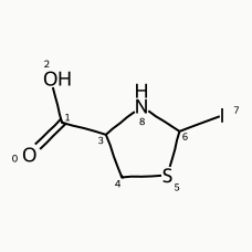 O=C(O)C1CSC(I)N1